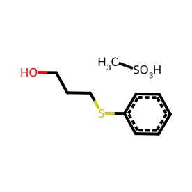 CS(=O)(=O)O.OCCCSc1ccccc1